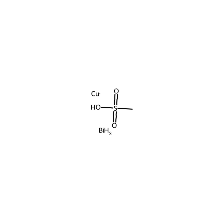 CS(=O)(=O)O.[BiH3].[Cu]